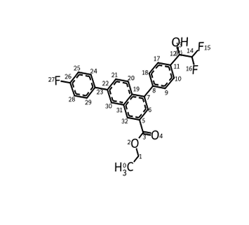 CCOC(=O)c1cc(-c2ccc([C@@H](O)C(F)F)cc2)c2ccc(-c3ccc(F)cc3)cc2c1